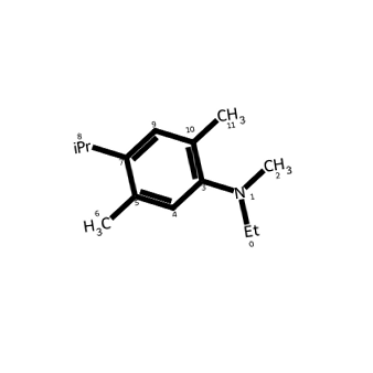 CCN(C)c1cc(C)c(C(C)C)cc1C